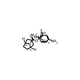 CC(C)(C)OC(=O)N1[C@@H]2CC[C@H]1C[C@@H](Oc1ccc(N)cc1F)C2